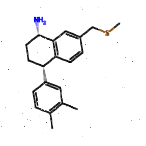 CSCc1ccc2c(c1)[C@@H](N)CC[C@H]2c1ccc(C)c(C)c1